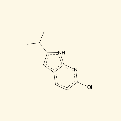 CC(C)c1cc2ccc(O)nc2[nH]1